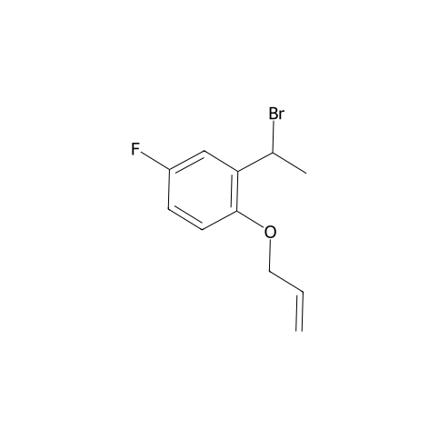 C=CCOc1ccc(F)cc1C(C)Br